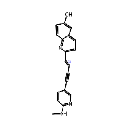 CNc1ccc(C#C/C=C/c2ccc3cc(O)ccc3n2)cn1